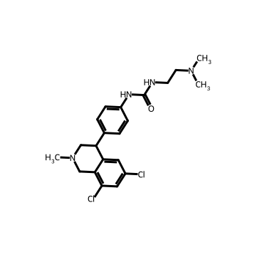 CN(C)CCNC(=O)Nc1ccc(C2CN(C)Cc3c(Cl)cc(Cl)cc32)cc1